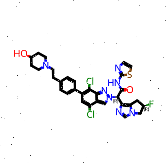 O=C(Nc1nccs1)[C@@H](c1ncn2c1C[C@@H](F)C2)n1cc2c(Cl)cc(-c3ccc(CCN4CCC(O)CC4)cc3)c(Cl)c2n1